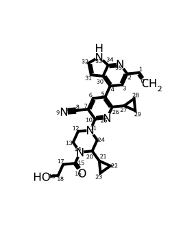 C=Cc1cc(-c2cc(C#N)c(N3CCN(C(=O)CCO)C(C4CC4)C3)nc2C2CC2)c2cc[nH]c2n1